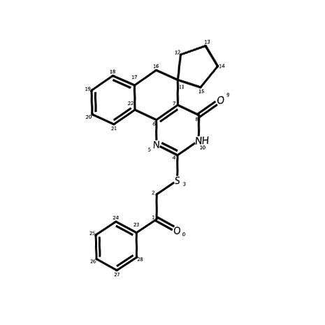 O=C(CSc1nc2c(c(=O)[nH]1)C1(CCCC1)Cc1ccccc1-2)c1ccccc1